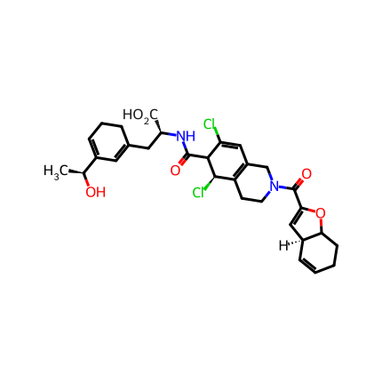 C[C@H](O)C1=CCCC(C[C@H](NC(=O)C2C(Cl)=CC3=C(CCN(C(=O)C4=C[C@@H]5C=CCCC5O4)C3)[C@H]2Cl)C(=O)O)=C1